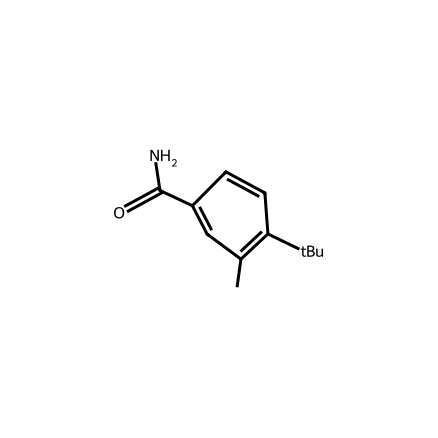 Cc1cc(C(N)=O)ccc1C(C)(C)C